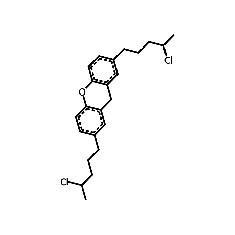 CC(Cl)CCCc1ccc2c(c1)Cc1cc(CCCC(C)Cl)ccc1O2